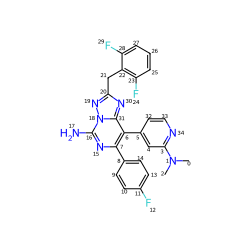 CN(C)c1cc(-c2c(-c3ccc(F)cc3)nc(N)n3nc(Cc4c(F)cccc4F)nc23)ccn1